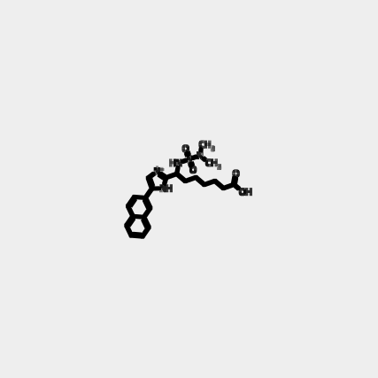 CN(C)S(=O)(=O)NC(CCCCCC(=O)O)C1=[N+]C=C(c2ccc3ccccc3c2)N1